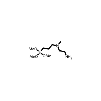 CO[Si](CCCN(C)CCN)(OC)OC